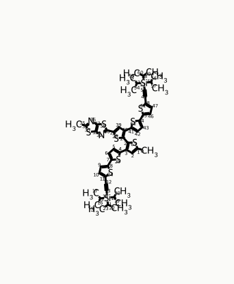 Cc1cc(-c2ccc(-c3ccc(C#C[Si](C(C)C)(C(C)C)C(C)C)s3)s2)c(-c2sc(-c3nc4sc(C)nc4s3)cc2-c2ccc(-c3ccc(C#C[Si](C(C)C)(C(C)C)C(C)C)s3)s2)s1